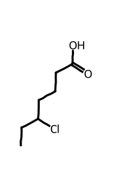 CCC(Cl)CCCC(=O)O